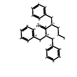 CC[CH]N(Cc1ccccc1)C(=N)N(Cc1ccccc1)Cc1ccccc1